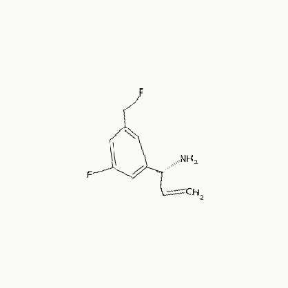 C=C[C@@H](N)c1cc(F)cc(CF)c1